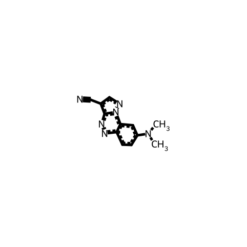 CN(C)c1ccc2nnc3c(C#N)cnn3c2c1